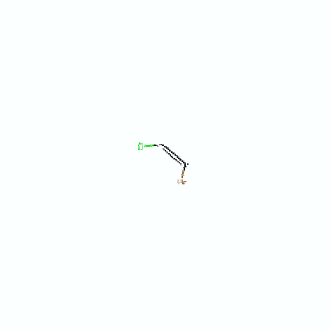 Cl/C=[C]\Br